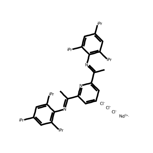 CC(=Nc1c(C(C)C)cc(C(C)C)cc1C(C)C)c1cccc(C(C)=Nc2c(C(C)C)cc(C(C)C)cc2C(C)C)n1.[Cl-].[Cl-].[Cl-].[Nd+3]